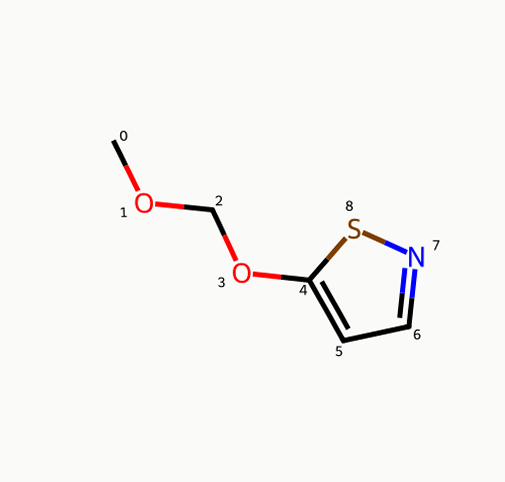 COCOc1ccns1